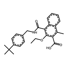 CCOc1c(C(=O)O)c(C)c2ccccc2c1C(=O)NCc1ccc(C(C)(C)C)cc1